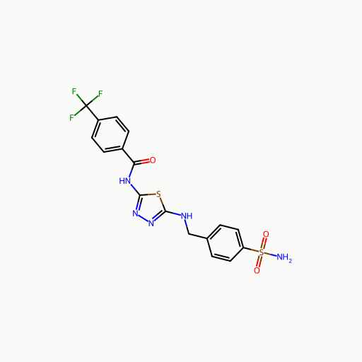 NS(=O)(=O)c1ccc(CNc2nnc(NC(=O)c3ccc(C(F)(F)F)cc3)s2)cc1